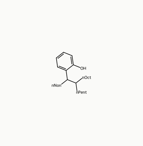 CCCCCCCCCC(c1ccccc1O)C(CCCCC)CCCCCCCC